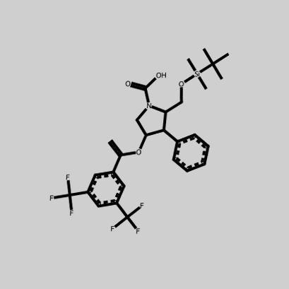 C=C(OC1CN(C(=O)O)C(CO[Si](C)(C)C(C)(C)C)C1c1ccccc1)c1cc(C(F)(F)F)cc(C(F)(F)F)c1